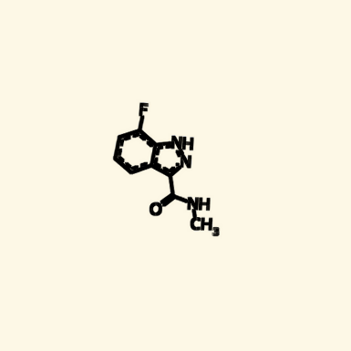 CNC(=O)c1n[nH]c2c(F)cccc12